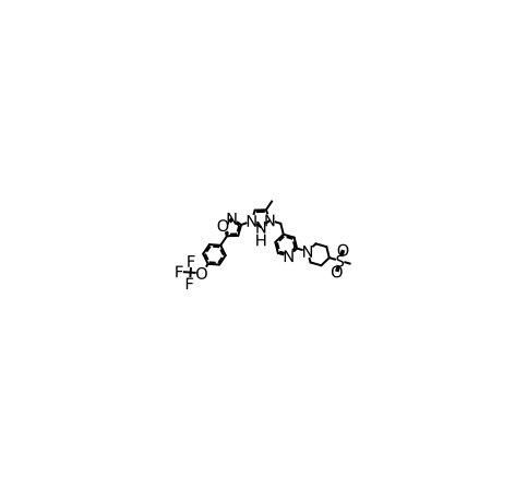 CC1=CN(c2cc(-c3ccc(OC(F)(F)F)cc3)on2)NN1Cc1ccnc(N2CCC(S(C)(=O)=O)CC2)c1